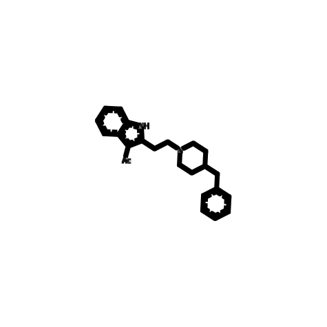 CC(=O)c1c(CCN2CCC(Cc3ccccc3)CC2)[nH]c2ccccc12